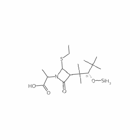 CCSC1C(C(C)(C)[C@@H](O[SiH3])C(C)(C)C)C(=O)N1C(C)C(=O)O